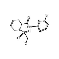 O=C(Nc1cccc(Br)n1)[C@@H]1CC=CCN1S(=O)(=O)CCl